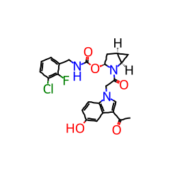 CC(=O)c1cn(CC(=O)N2[C@@H](OC(=O)NCc3cccc(Cl)c3F)C[C@H]3C[C@H]32)c2ccc(O)cc12